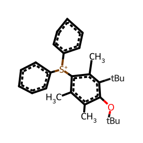 Cc1c(C)c([S+](c2ccccc2)c2ccccc2)c(C)c(C(C)(C)C)c1OC(C)(C)C